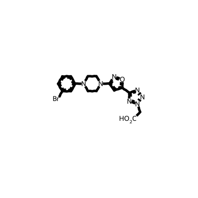 O=C(O)Cn1nnc(-c2cc(N3CCN(c4cccc(Br)c4)CC3)no2)n1